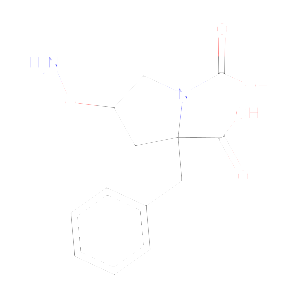 NOC1CN(C(=O)O)C(Cc2ccccc2)(C(=O)O)C1